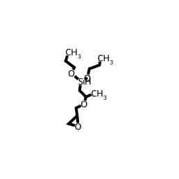 CCCO[SiH](CC(C)OCC1CO1)OCCC